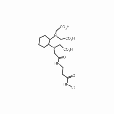 CCNC(=O)CCNC(=O)CN(CC(=O)O)C1CCCCC1N(CC(=O)O)CC(=O)O